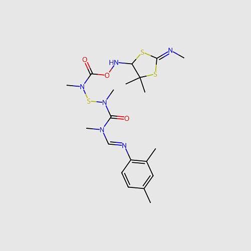 CN=C1SC(NOC(=O)N(C)SN(C)C(=O)N(C)C=Nc2ccc(C)cc2C)C(C)(C)S1